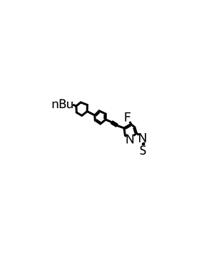 CCCCC1CCC(c2ccc(C#Cc3cnc(N=C=S)cc3F)cc2)CC1